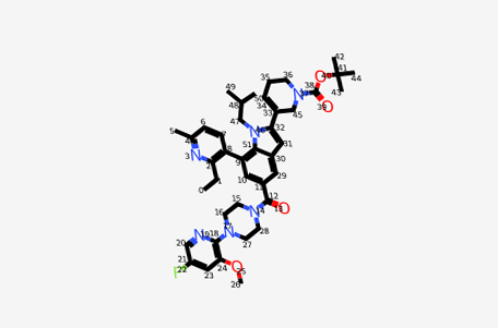 CCc1nc(C)ccc1-c1cc(C(=O)N2CCN(c3ncc(F)cc3OC)CC2)cc2cc(C3=CCCN(C(=O)OC(C)(C)C)C3)n(CC(C)C)c12